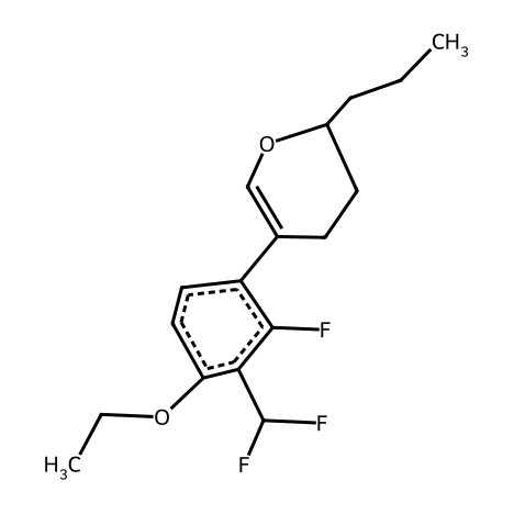 CCCC1CCC(c2ccc(OCC)c(C(F)F)c2F)=CO1